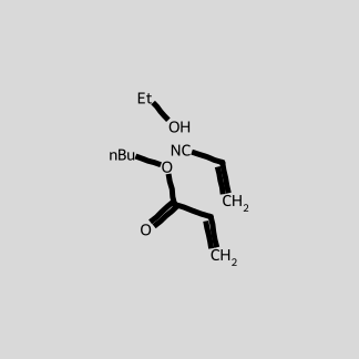 C=CC#N.C=CC(=O)OCCCC.CCO